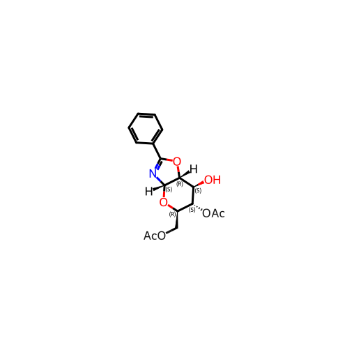 CC(=O)OC[C@H]1O[C@@H]2N=C(c3ccccc3)O[C@@H]2[C@@H](O)[C@@H]1OC(C)=O